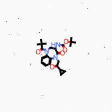 CC(C)(C)OC(=O)NC1CN(C(=O)C(C)(C)C)c2ccccc2N(CC(=O)C2CC2)C1=O